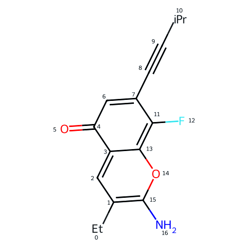 CCc1cc2c(=O)cc(C#CC(C)C)c(F)c-2oc1N